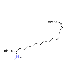 CCCCC/C=C\C/C=C\CCCCCCCCC[C@@H](CCCCCC)N(C)C